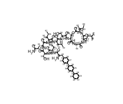 CC[C@H](C)[C@H](NC(=O)[C@H](N)Cc1ccc(-c2ccc(-c3ccccc3)cc2)cc1)C(=O)N[C@@H](CO)C(=O)N[C@H](CCC(N)=O)C(=O)N[C@@H](C(=O)N[C@H](C(=O)N[C@@H](CO)C(=O)N[C@H]1C(=O)N[C@@H](C)C(=O)NC2(CC2CC(F)F)C(=O)N[C@@H]([C@@H](C)CC)C(=O)O[C@H]1C)[C@@H](C)CC)[C@@H](C)CC